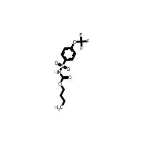 CCCCOC(=O)NS(=O)(=O)c1ccc(OC(F)(F)F)cc1